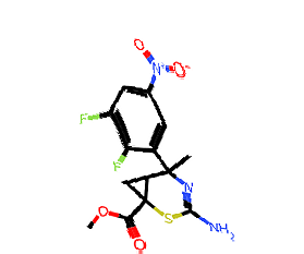 COC(=O)C12CC1C(C)(c1cc([N+](=O)[O-])cc(F)c1F)N=C(N)S2